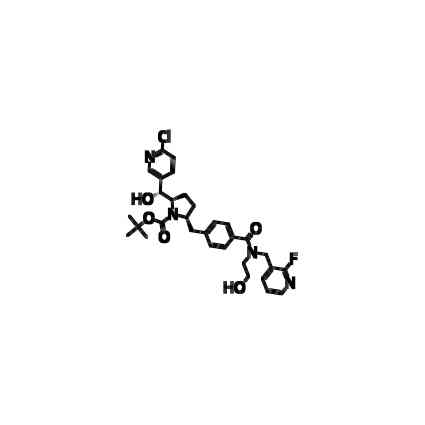 CC(C)(C)OC(=O)N1[C@H](Cc2ccc(C(=O)N(CCO)Cc3cccnc3F)cc2)CC[C@@H]1[C@H](O)c1ccc(Cl)nc1